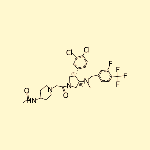 CC(=O)NC1CCN(CC(=O)N2C[C@H](c3ccc(Cl)c(Cl)c3)[C@@H](N(C)Cc3ccc(C(F)(F)F)c(F)c3)C2)CC1